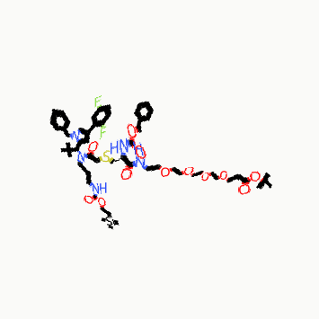 CC(C)(C)OC(=O)CCOCCOCCOCCOCCNC(=O)[C@H](CSCC(=O)N(CCCNC(=O)OCC[Si](C)(C)C)[C@@H](c1cc(-c2cc(F)ccc2F)cn1Cc1ccccc1)C(C)(C)C)NC(=O)OCc1ccccc1